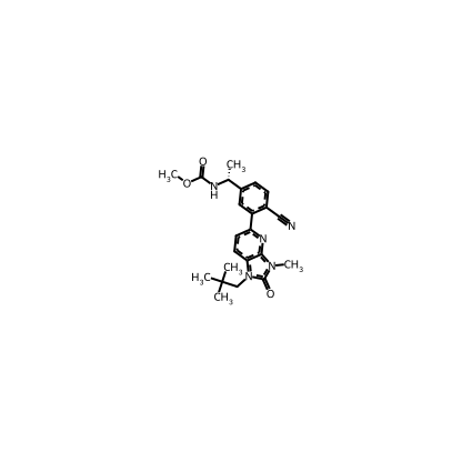 COC(=O)N[C@H](C)c1ccc(C#N)c(-c2ccc3c(n2)n(C)c(=O)n3CC(C)(C)C)c1